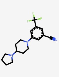 N#Cc1cc(N2CCC(N3CCCC3)CC2)cc(C(F)(F)F)c1